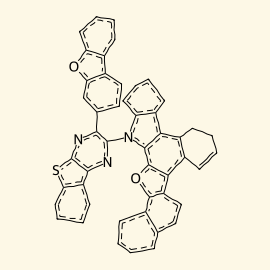 C1=Cc2c(c3c4ccccc4n(-c4nc5c(nc4-c4ccc6c(c4)oc4ccccc46)sc4ccccc45)c3c3oc4c5ccccc5ccc4c23)CC1